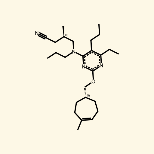 CCCc1c(CC)nc(OC[C@@H]2CCC=C(C)CC2)nc1N(CCC)C[C@H](C)CC#N